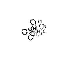 CC(C)(C)[Si](Oc1nn(-c2nc(Cl)ncc2Cl)c2ccccc12)(c1ccccc1)c1ccccc1